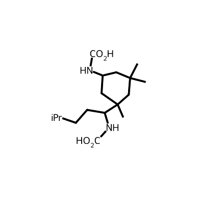 CC(C)CCC(NC(=O)O)C1(C)CC(NC(=O)O)CC(C)(C)C1